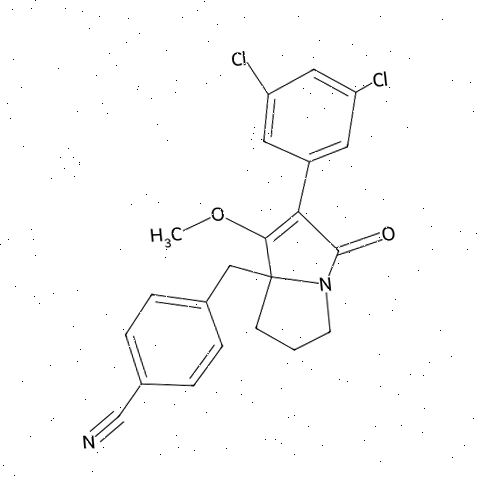 COC1=C(c2cc(Cl)cc(Cl)c2)C(=O)N2CCCC12Cc1ccc(C#N)cc1